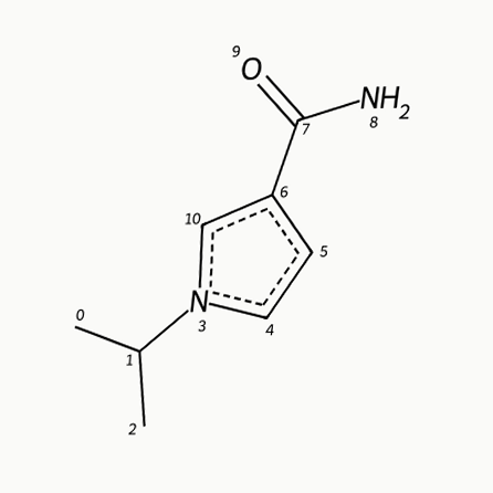 CC(C)n1ccc(C(N)=O)c1